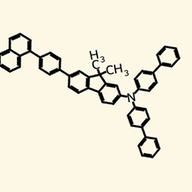 CC1(C)c2cc(-c3ccc(-c4cccc5ccccc45)cc3)ccc2-c2ccc(N(c3ccc(-c4ccccc4)cc3)c3ccc(-c4ccccc4)cc3)cc21